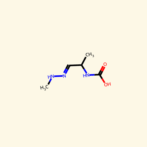 CNN=CC(C)NC(=O)O